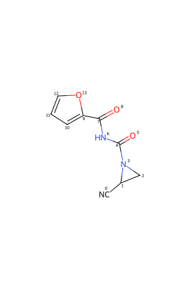 N#CC1CN1C(=O)NC(=O)c1ccco1